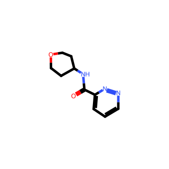 O=C(NC1CCOCC1)c1cccnn1